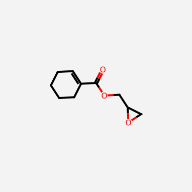 O=C(OCC1CO1)C1=CCCCC1